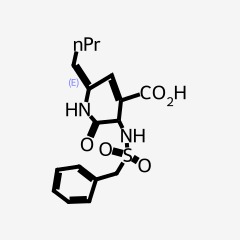 CCC/C=C1\C=C(C(=O)O)C(NS(=O)(=O)Cc2ccccc2)C(=O)N1